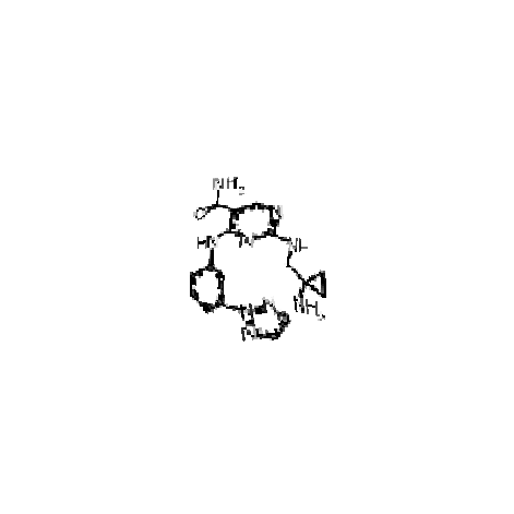 NC(=O)c1cnc(NCC2(N)CC2)nc1Nc1cccc(-n2nccn2)c1